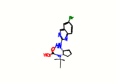 CC(C)(C)N(C(=O)O)[C@H]1CCC[C@H]1Nc1ncc2cc(Br)ccc2n1